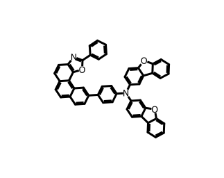 c1ccc(-c2nc3ccc4ccc5ccc(-c6ccc(N(c7ccc8c(c7)oc7ccccc78)c7ccc8oc9ccccc9c8c7)cc6)cc5c4c3o2)cc1